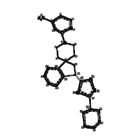 Nc1ccnc(N2CCC3(CC2)C[C@H](c2nnc(-c4ccccc4)o2)c2ccccc23)c1